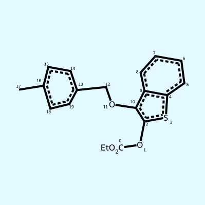 CCOC(=O)Oc1sc2ccccc2c1OCc1ccc(C)cc1